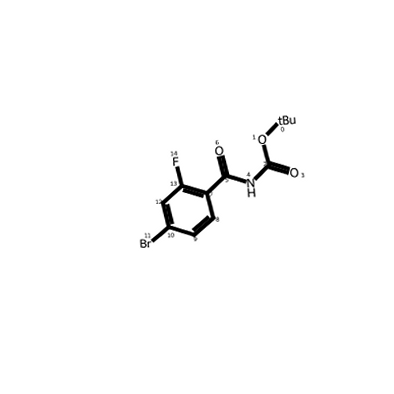 CC(C)(C)OC(=O)NC(=O)c1ccc(Br)cc1F